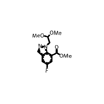 COC(=O)c1cc(F)cc2cnn(CC(OC)OC)c12